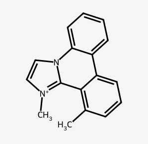 Cc1cccc2c3ccccc3n3cc[n+](C)c3c12